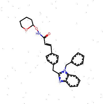 O=C(/C=C/c1ccc(Cc2nc3ccccc3n2Cc2ccccc2)cc1)NOC1CCCCO1